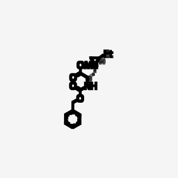 CC[C@@H]1C[C@H]1C[C@H](NC(=O)OCc1ccccc1)C(=O)OC